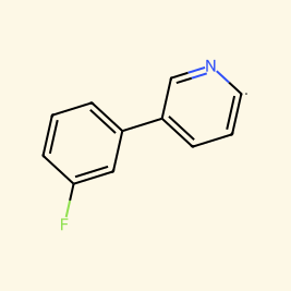 Fc1cccc(-c2cc[c]nc2)c1